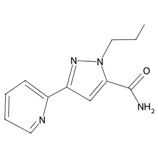 CCCn1nc(-c2ccccn2)cc1C(N)=O